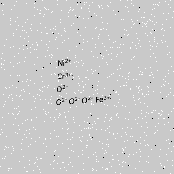 [Cr+3].[Fe+3].[Ni+2].[O-2].[O-2].[O-2].[O-2]